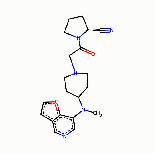 CN(c1cncc2ccoc12)C1CCN(CC(=O)N2CCC[C@H]2C#N)CC1